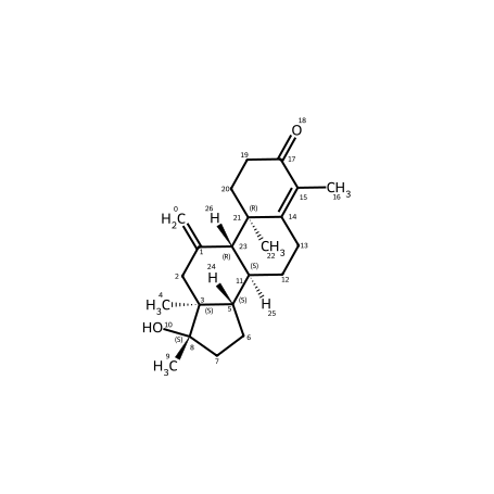 C=C1C[C@@]2(C)[C@@H](CC[C@]2(C)O)[C@@H]2CCC3=C(C)C(=O)CC[C@]3(C)[C@@H]12